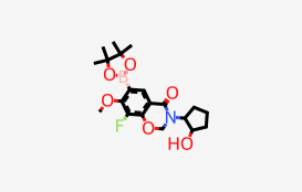 COc1c(B2OC(C)(C)C(C)(C)O2)cc2c(c1F)OCN(C1CCCC1O)C2=O